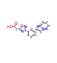 O=C(O)Cc1nc(-c2cccc(-c3cn4ncccc4n3)c2)no1